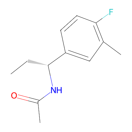 CC[C@@H](NC(C)=O)c1ccc(F)c(C)c1